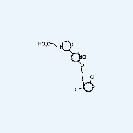 Cl.O=C(O)CCN1CCOC(c2ccc(OCCCc3c(Cl)cccc3Cl)cc2)C1